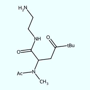 CC(=O)N(C)C(CC(=O)C(C)(C)C)C(=O)NCCN